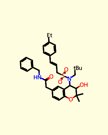 CCc1ccc(C=CCS(=O)(=O)N(CC(C)(C)C)C2c3cc(CC(=O)NCc4ccccc4)ccc3OC(C)(C)C2O)cc1